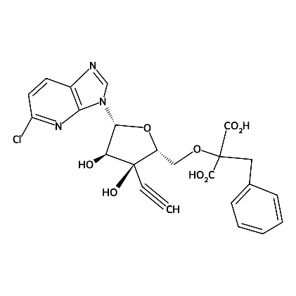 C#C[C@@]1(O)[C@@H](COC(Cc2ccccc2)(C(=O)O)C(=O)O)O[C@@H](n2cnc3ccc(Cl)nc32)[C@@H]1O